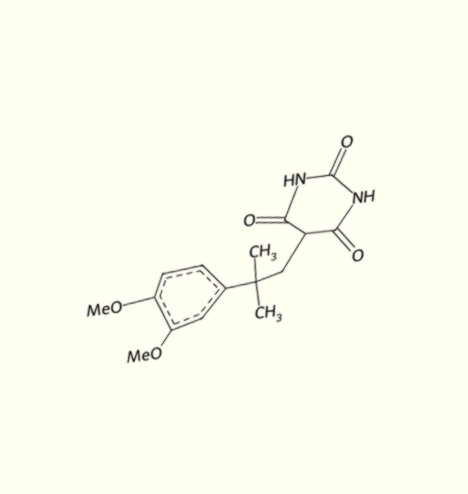 COc1ccc(C(C)(C)CC2C(=O)NC(=O)NC2=O)cc1OC